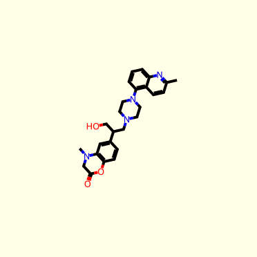 Cc1ccc2c(N3CCN(CC(CO)c4ccc5c(c4)N(C)CC(=O)O5)CC3)cccc2n1